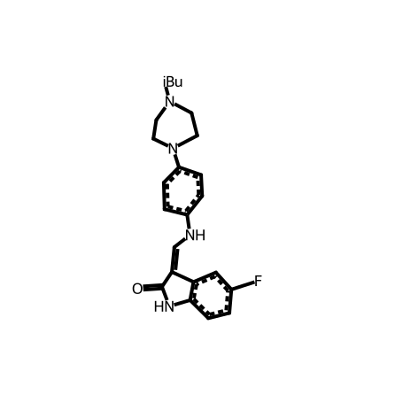 CCC(C)N1CCN(c2ccc(N/C=C3/C(=O)Nc4ccc(F)cc43)cc2)CC1